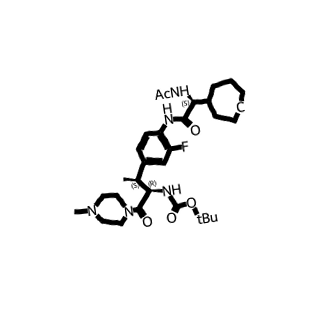 CC(=O)N[C@H](C(=O)Nc1ccc([C@H](C)[C@@H](NC(=O)OC(C)(C)C)C(=O)N2CCN(C)CC2)cc1F)C1CCCCCC1